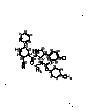 CC1CCC(OC(=O)N(C)[C@@H]2C(C(=O)C3CC(c4ccccn4)NCC3C#N)NC[C@H]2c2ccc(Cl)cc2)CC1